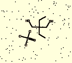 CCC(CC)(CO)CO.O=P(Cl)(Cl)Cl